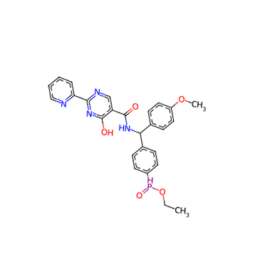 CCO[PH](=O)c1ccc(C(NC(=O)c2cnc(-c3ccccn3)nc2O)c2ccc(OC)cc2)cc1